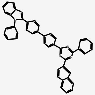 c1ccc(-c2nc(-c3ccc(-c4ccc(-c5nc6ccccc6n5-c5ccccc5)cc4)cc3)nc(-c3ccc4ccccc4c3)n2)cc1